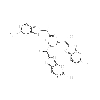 N#CC(=C1N=c2cnc(C#N)nc2=N1)c1nc(C(C#N)=C2N=c3cnc(C#N)nc3=N2)nc(C(C#N)=C2N=c3cnc(C#N)nc3=N2)n1